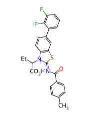 CCC(C(=O)O)n1/c(=N/C(=O)c2ccc(C)cc2)sc2cc(-c3cccc(F)c3F)ccc21